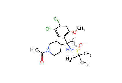 COc1cc(Cl)c(Cl)cc1C(C)(N[S+]([O-])C(C)(C)C)C1CCN(C(C)=O)CC1